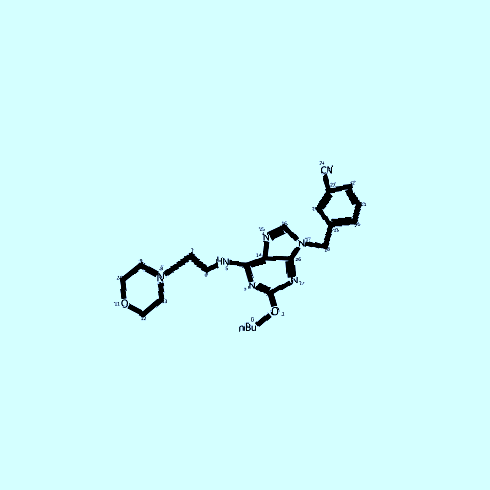 CCCCOc1nc(NCCN2CCOCC2)c2ncn(Cc3cccc(C#N)c3)c2n1